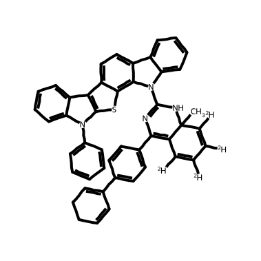 [2H]C1=C([2H])C2=C(c3ccc(C4=CCCC=C4)cc3)N=C(n3c4ccccc4c4ccc5c(sc6c5c5ccccc5n6-c5ccccc5)c43)NC2(C)C([2H])=C1[2H]